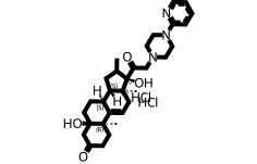 CC1C[C@H]2[C@@H]3CCC4(O)CC(=O)CC[C@]4(C)C3=CC[C@]2(C)[C@@]1(O)C(=O)CN1CCN(c2ccccn2)CC1.Cl.Cl